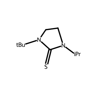 CC(C)N1CCN(C(C)(C)C)C1=S